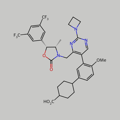 COc1ccc(C2CCC(C(=O)O)CC2)cc1-c1cnc(N2CCC2)nc1CN1C(=O)O[C@H](c2cc(C(F)(F)F)cc(C(F)(F)F)c2)[C@@H]1C